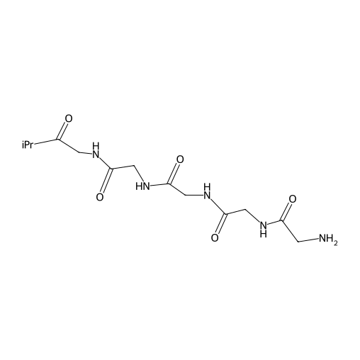 CC(C)C(=O)CNC(=O)CNC(=O)CNC(=O)CNC(=O)CN